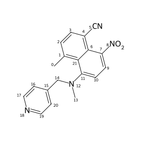 Cc1ccc(C#N)c2c([N+](=O)[O-])ccc(N(C)Cc3ccncc3)c12